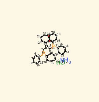 Cl.N.c1ccc(P([CH2][Pd]([CH2]P(c2ccccc2)c2ccccc2)[c]2ccccc2)c2ccccc2)cc1